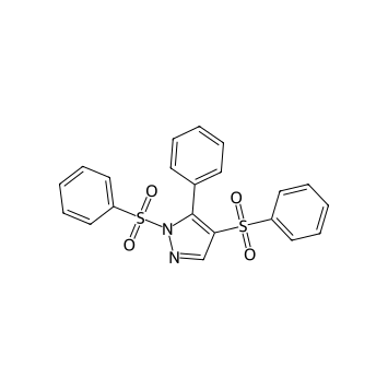 O=S(=O)(c1ccccc1)c1cnn(S(=O)(=O)c2ccccc2)c1-c1ccccc1